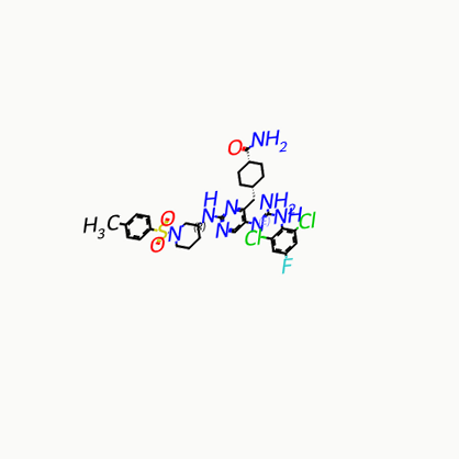 Cc1ccc(S(=O)(=O)N2CCC[C@@H](Nc3ncc(/N=C(\N)Nc4c(Cl)cc(F)cc4Cl)c(C[C@H]4CC[C@@H](C(N)=O)CC4)n3)C2)cc1